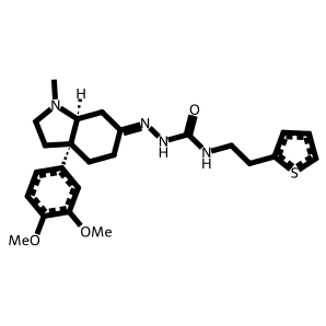 COc1ccc([C@@]23CC/C(=N\NC(=O)NCCc4cccs4)C[C@@H]2N(C)CC3)cc1OC